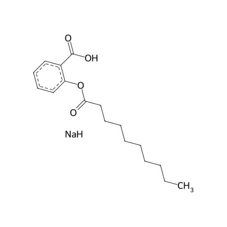 CCCCCCCCCC(=O)Oc1ccccc1C(=O)O.[NaH]